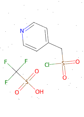 O=S(=O)(Cl)Cc1ccncc1.O=S(=O)(O)C(F)(F)F